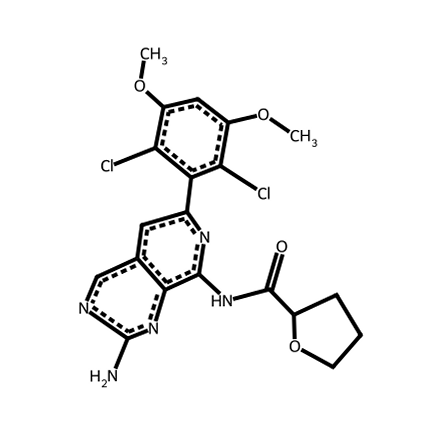 COc1cc(OC)c(Cl)c(-c2cc3cnc(N)nc3c(NC(=O)C3CCCO3)n2)c1Cl